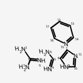 N=C(N)N.N=CN.c1c[nH]cn1.c1ccncc1